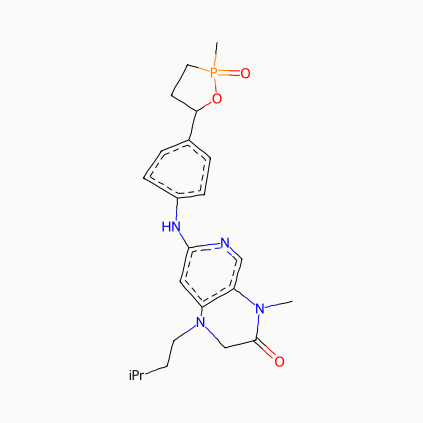 CC(C)CCN1CC(=O)N(C)c2cnc(Nc3ccc(C4CCP(C)(=O)O4)cc3)cc21